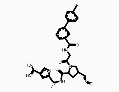 Cc1ccc(-c2cccc(C(=O)NCC(=O)N3CC(C=S=O)CC3C(=O)N[C@H](C)c3cc(C(=N)N)cs3)c2)cc1